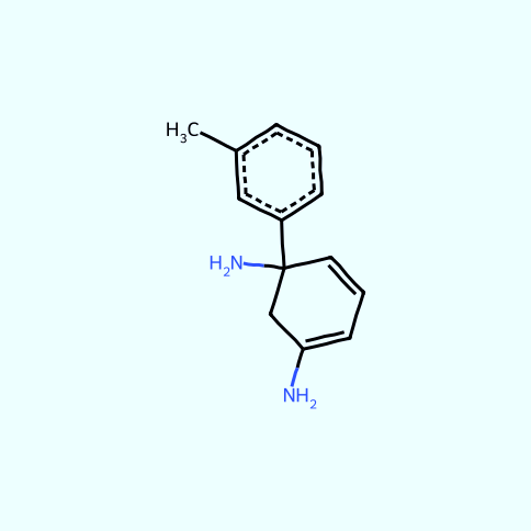 Cc1cccc(C2(N)C=CC=C(N)C2)c1